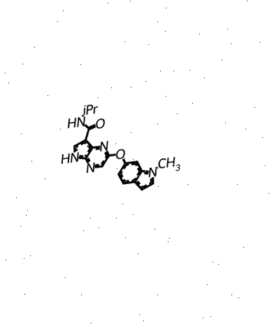 CC(C)NC(=O)c1c[nH]c2ncc(Oc3ccc4ccn(C)c4c3)nc12